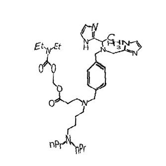 CCCN(CCC)CCCCN(CCC(=O)OCOC(=O)N(CC)CC)Cc1ccc(CN(Cc2ncc[nH]2)C(C)c2ncc[nH]2)cc1